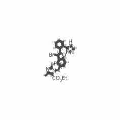 CCCCCc1nc(C)c(C(=O)OCC)n1Cc1ccc2oc(-c3ccccc3-c3nnn[nH]3)c(Br)c2c1